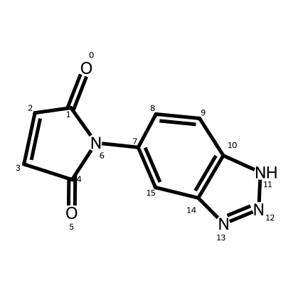 O=C1C=CC(=O)N1c1ccc2[nH]nnc2c1